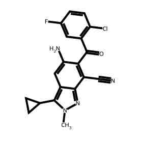 Cn1nc2c(C#N)c(C(=O)c3cc(F)ccc3Cl)c(N)cc2c1C1CC1